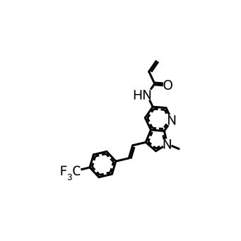 C=CC(=O)Nc1cnc2c(c1)c(/C=C/c1ccc(C(F)(F)F)cc1)cn2C